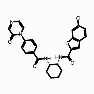 O=C(N[C@H]1CCCC[C@H]1NC(=O)c1cc2ccc(Cl)cc2s1)c1ccc(-n2ccncc2=O)cc1